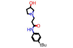 CC(C)(C)c1ccc(NC(=O)CCN2CCC(O)C2)cc1